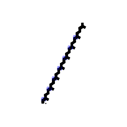 [CH2]/C=C(\C)CC/C=C(\C)CC/C=C(\C)CC/C=C(\C)CC/C=C(\C)CC/C=C(\C)CC/C=C(\C)CCC=C(C)C